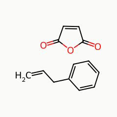 C=CCc1ccccc1.O=C1C=CC(=O)O1